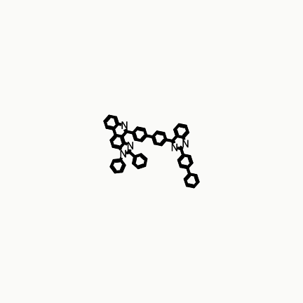 c1ccc(-c2ccc(-c3nc(-c4ccc(-c5ccc(-c6nc7ccccc7c7ccc8c(nc(-c9ccccc9)n8-c8ccccc8)c67)cc5)cc4)c4ccccc4n3)cc2)cc1